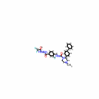 CN1CCN(C(=O)NCc2ccc(C(=O)NNC(=O)C(F)F)cc2F)C(c2ccc(-c3ccccc3)cc2)C1